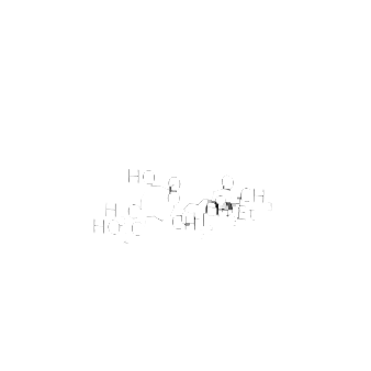 CC[C@H](O)[C@@H](C)[C@H]1O[C@@H]1C[C@@](C)(O)/C=C/C=C(\C)[C@H]1OC(=O)C[C@H](O)CC[C@H](C)[C@@H](CC(=O)O)/C=C/[C@@H]1C